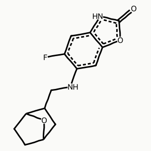 O=c1[nH]c2cc(F)c(NCC3CC4CCC3O4)cc2o1